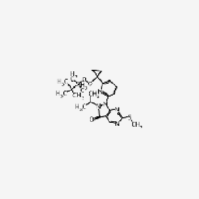 CSc1ncc2c(=O)n(C(C)C)n(-c3cccc(C4(OO[Si](C)(C)C(C)(C)C)CC4)n3)c2n1